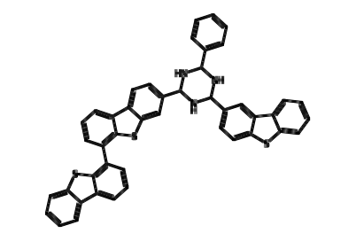 c1ccc(C2NC(c3ccc4c(c3)sc3c(-c5cccc6c5sc5ccccc56)cccc34)NC(c3ccc4sc5ccccc5c4c3)N2)cc1